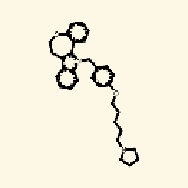 c1ccc2c(c1)SCCc1c-2n(Cc2ccc(OCCCCCN3CCCC3)cc2)c2ccccc12